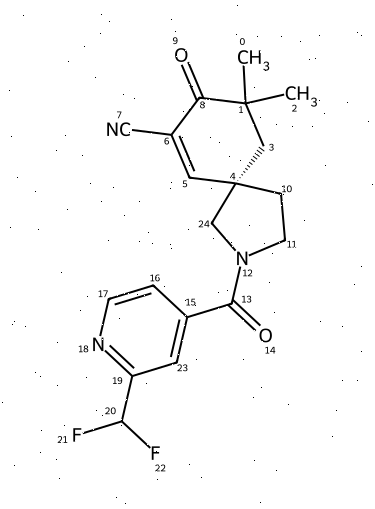 CC1(C)C[C@]2(C=C(C#N)C1=O)CCN(C(=O)c1ccnc(C(F)F)c1)C2